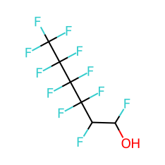 OC(F)C(F)C(F)(F)C(F)(F)C(F)(F)C(F)(F)F